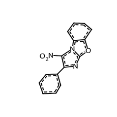 O=[N+]([O-])c1c(-c2ccccc2)nc2oc3ccccc3n12